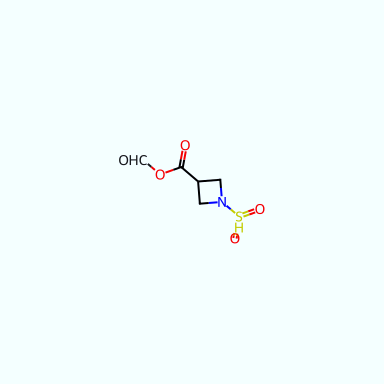 O=COC(=O)C1CN([SH](=O)=O)C1